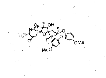 COc1ccc(OP(=S)(OC[C@@]2(C(F)F)O[C@@H](n3cc(Cl)c(N)nc3=O)C(F)(F)C2O)Oc2ccc(OC)cc2)cc1